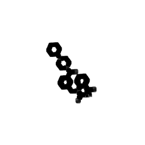 O=C(c1cccc(Cn2c(=O)[nH]c(=O)c3ccccc32)c1)N1CCN(C2CCCCC2)CC1